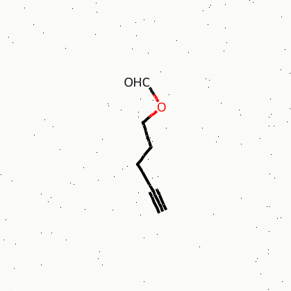 C#CCCCOC=O